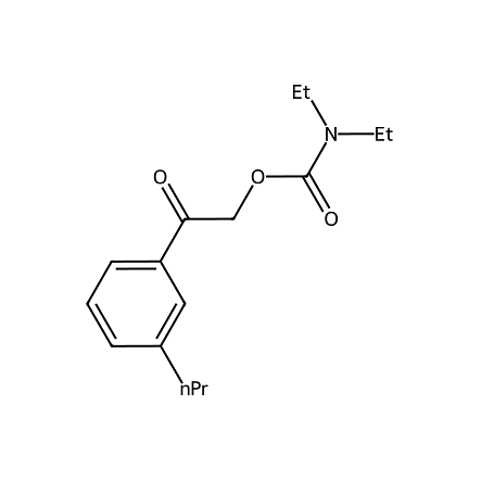 CCCc1cccc(C(=O)COC(=O)N(CC)CC)c1